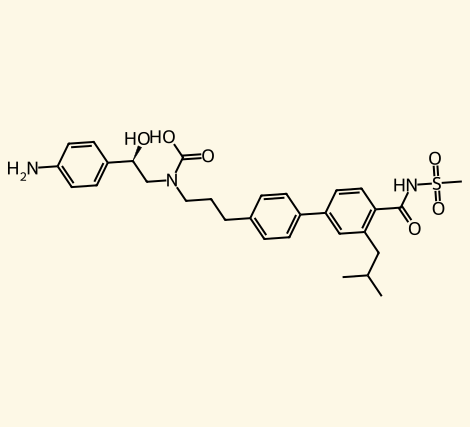 CC(C)Cc1cc(-c2ccc(CCCN(C[C@H](O)c3ccc(N)cc3)C(=O)O)cc2)ccc1C(=O)NS(C)(=O)=O